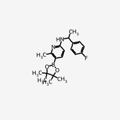 Cc1nc(NC(C)c2ccc(F)cc2)ccc1B1OC(C)(C)C(C)(C)O1